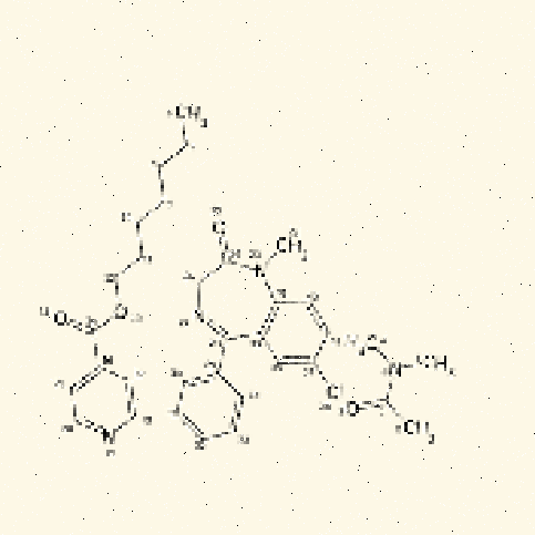 CC(=O)N(C)C.CCCCCCCOC(=O)c1ccncc1.CN1C(=O)CN=C(c2ccccc2)c2cc(Cl)ccc21